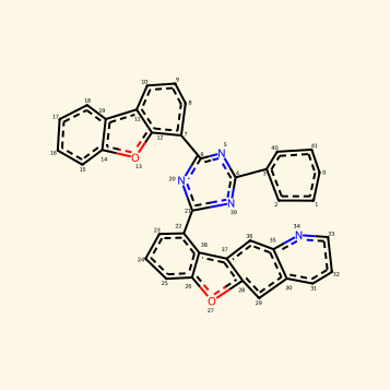 c1ccc(-c2nc(-c3cccc4c3oc3ccccc34)nc(-c3cccc4oc5cc6cccnc6cc5c34)n2)cc1